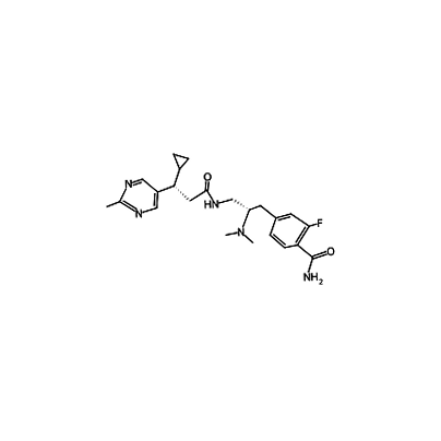 Cc1ncc([C@@H](CC(=O)NC[C@H](Cc2ccc(C(N)=O)c(F)c2)N(C)C)C2CC2)cn1